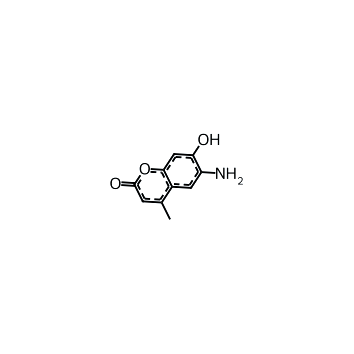 Cc1cc(=O)oc2cc(O)c(N)cc12